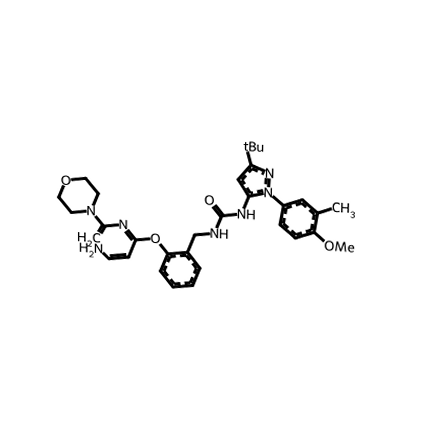 C=C(/N=C(\C=C/N)Oc1ccccc1CNC(=O)Nc1cc(C(C)(C)C)nn1-c1ccc(OC)c(C)c1)N1CCOCC1